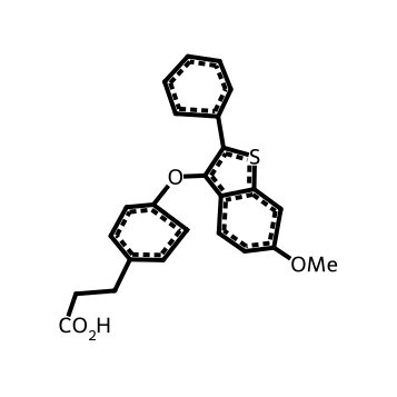 COc1ccc2c(Oc3ccc(CCC(=O)O)cc3)c(-c3ccccc3)sc2c1